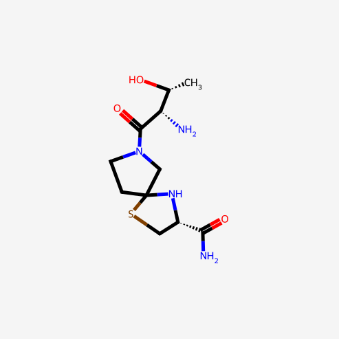 C[C@@H](O)[C@H](N)C(=O)N1CCC2(C1)N[C@H](C(N)=O)CS2